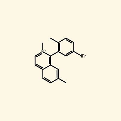 Cc1ccc2cc[n+](C)c(-c3cc(C(C)C)ccc3C)c2c1